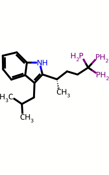 CC(C)Cc1c([C@@H](C)CCC(P)(P)P)[nH]c2ccccc12